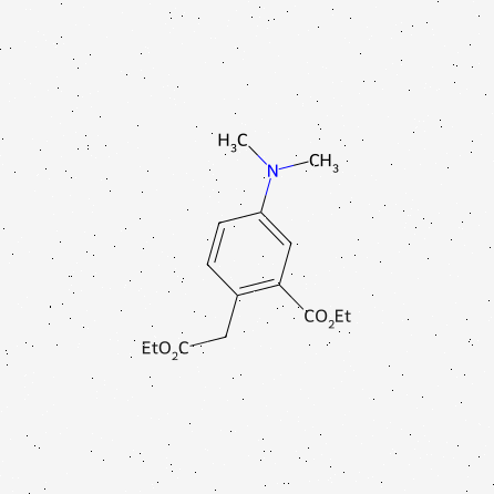 CCOC(=O)Cc1ccc(N(C)C)cc1C(=O)OCC